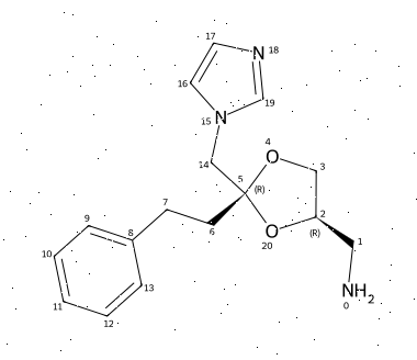 NC[C@@H]1CO[C@@](CCc2ccccc2)(Cn2ccnc2)O1